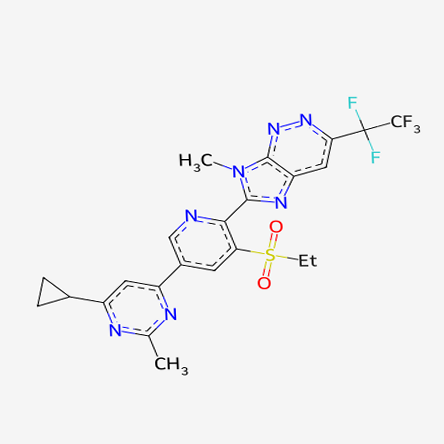 CCS(=O)(=O)c1cc(-c2cc(C3CC3)nc(C)n2)cnc1-c1nc2cc(C(F)(F)C(F)(F)F)nnc2n1C